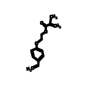 C=Cc1ccc(OCCOC(=O)C(=C)C)cc1